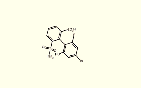 NS(=O)(=O)c1cccc(S(=O)(=O)O)c1-c1c(O)cc(Br)cc1F